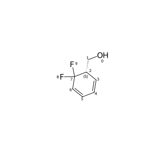 OC[C@@H]1C=CC=CC1(F)F